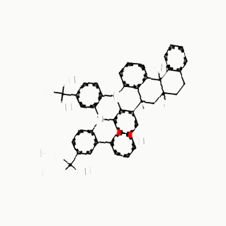 Cc1cc2c3c(c1)N(c1ccc(C(C)(C)C)cc1-c1ccccc1)c1cc(C(C)(C)C)ccc1B3c1cccc3c1[C@@H]2CC1(C)CCc2ccccc2C31C